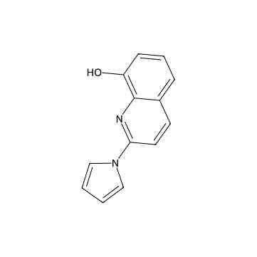 Oc1cccc2ccc(-n3cccc3)nc12